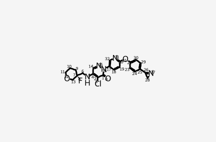 O=c1c(Cl)c(NC[C@]2(F)CCCOC2)cnn1-c1ccc(Oc2ccc(C3=NC3)cc2)nc1